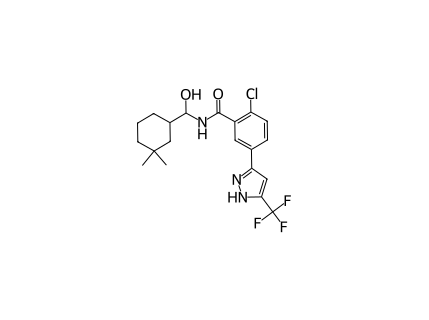 CC1(C)CCCC(C(O)NC(=O)c2cc(-c3cc(C(F)(F)F)[nH]n3)ccc2Cl)C1